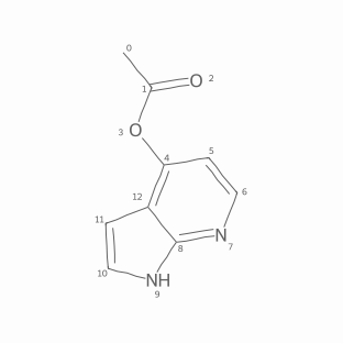 CC(=O)Oc1ccnc2[nH]ccc12